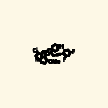 COc1ccc2ncc(Cl)c(CCCC3(C(O)CC#Cc4ccc(F)cc4F)CCNCC3)c2c1